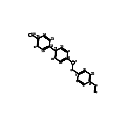 C=Cc1ccc(COc2ccc(-c3ccc(Cl)cc3)cc2)cc1